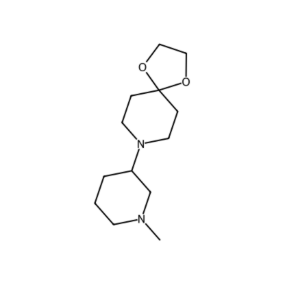 CN1CCCC(N2CCC3(CC2)OCCO3)C1